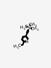 CCc1ccc(C#C[Si](C)(C)C)cn1